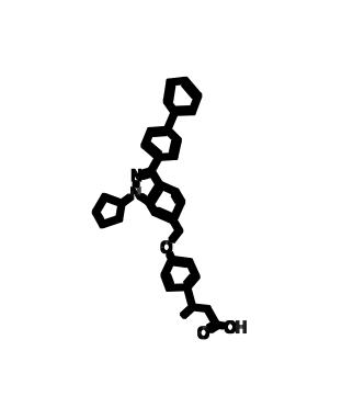 CC(CC(=O)O)c1ccc(OCc2ccc3c(-c4ccc(-c5ccccc5)cc4)nn(C4CCCC4)c3c2)cc1